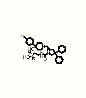 O=C(NCCS(=O)(=O)O)NCC(CCCN1CCC(O)(c2ccc(Cl)cc2)CC1)(c1ccccc1)c1ccccc1